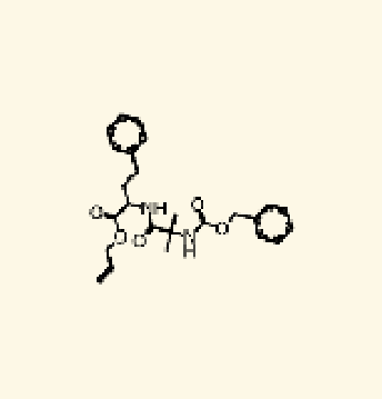 C=CCOC(=O)C(CCc1ccccc1)NC(=O)C(C)(C)NC(=O)OCc1ccccc1